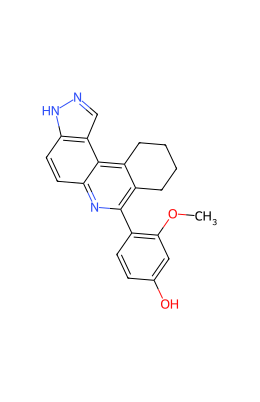 COc1cc(O)ccc1-c1nc2ccc3[nH]ncc3c2c2c1CCCC2